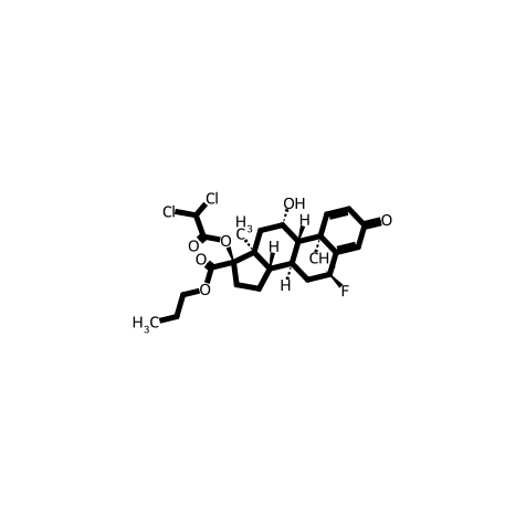 CCCOC(=O)[C@@]1(OC(=O)C(Cl)Cl)CC[C@H]2[C@@H]3C[C@H](F)C4=CC(=O)C=C[C@]4(C)[C@H]3[C@@H](O)C[C@@]21C